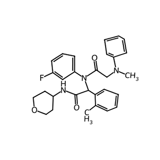 Cc1ccccc1C(C(=O)NC1CCOCC1)N(C(=O)CN(C)c1ccccc1)c1cccc(F)c1